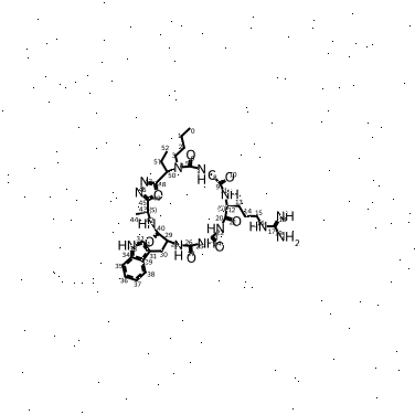 CCCCN1C(=O)NCC(=O)N[C@@H](CCCNC(=N)N)C(=O)NC(=O)NC(=O)NC(Cc2c[nH]c3ccccc23)C(=O)N[C@@H](C)c2nnc(o2)C1CC